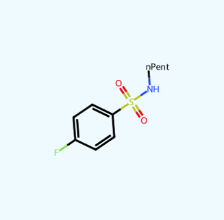 CCCCCNS(=O)(=O)c1ccc(F)cc1